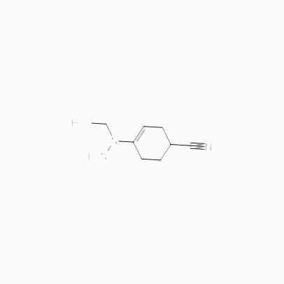 CCN(N)C1=CCC(C#N)CC1